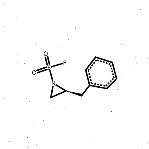 O=S(=O)(F)N1C[C@@H]1Cc1ccccc1